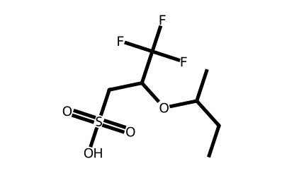 CCC(C)OC(CS(=O)(=O)O)C(F)(F)F